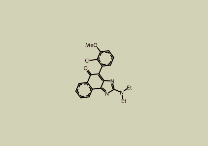 CCN(CC)C1=NC2=C(c3cccc(OC)c3Cl)C(=O)c3ccccc3C2=N1